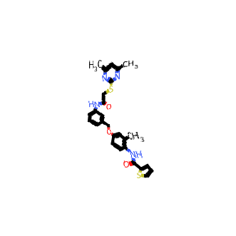 Cc1cc(C)nc(SCC(=O)Nc2cccc(COc3ccc(NC(=O)c4cccs4)c(C)c3)c2)n1